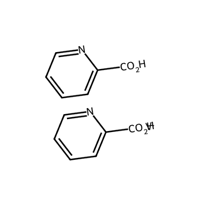 O=C(O)c1ccccn1.O=C(O)c1ccccn1.[V]